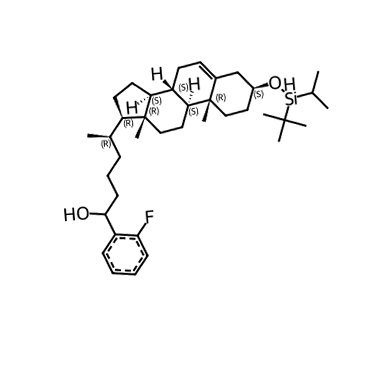 CC(C)[SiH](O[C@H]1CC[C@@]2(C)C(=CC[C@H]3[C@@H]4CC[C@H]([C@H](C)CCCC(O)c5ccccc5F)[C@@]4(C)CC[C@@H]32)C1)C(C)(C)C